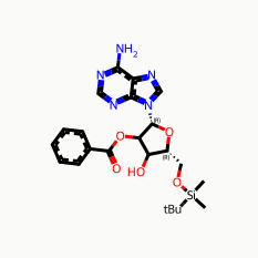 CC(C)(C)[Si](C)(C)OC[C@H]1O[C@@H](n2cnc3c(N)ncnc32)C(OC(=O)c2ccccc2)C1O